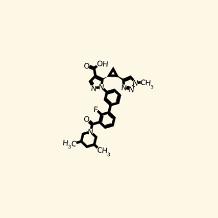 CC1CC(C)CN(C(=O)c2cccc(-c3cccc(-n4ncc(C(=O)O)c4[C@@H]4C[C@H]4c4cn(C)nn4)c3)c2F)C1